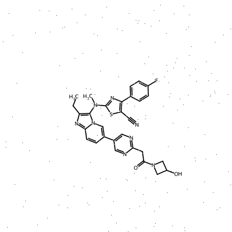 CCc1nc2ccc(-c3cnc(CC(=O)N4CC(O)C4)nc3)cn2c1N(C)c1nc(-c2ccc(F)cc2)c(C#N)s1